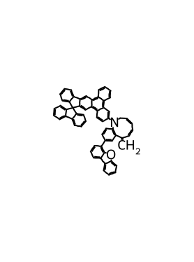 C=C1/C=C\C=C/CN(c2ccc3c(c2)c2ccccc2c2cc4c(cc32)C2(c3ccccc3-c3ccccc32)c2ccccc2-4)c2ccc(-c3cccc4c3oc3ccccc34)cc21